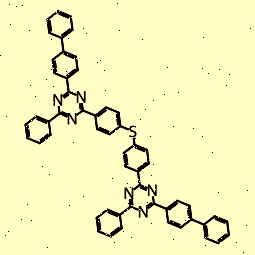 c1ccc(-c2ccc(-c3nc(-c4ccccc4)nc(-c4ccc(Sc5ccc(-c6nc(-c7ccccc7)nc(-c7ccc(-c8ccccc8)cc7)n6)cc5)cc4)n3)cc2)cc1